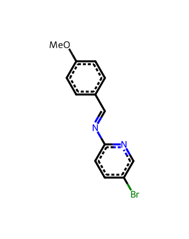 COc1ccc(/C=N/c2ccc(Br)cn2)cc1